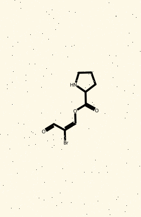 O=C/C(Br)=C\OC(=O)C1CCCN1